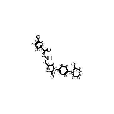 O=C(ONCC1CN(C2=CC=C(N3CCOCC3=O)CC2)C(=O)O1)c1ccc(Cl)s1